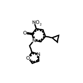 O=c1c([N+](=O)[O-])cc(C2CC2)cn1Cc1ncco1